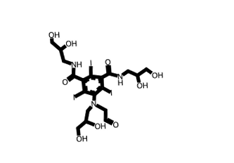 O=CCN(CC(O)CO)c1c(I)c(C(=O)NCC(O)CO)c(I)c(C(=O)NCC(O)CO)c1I